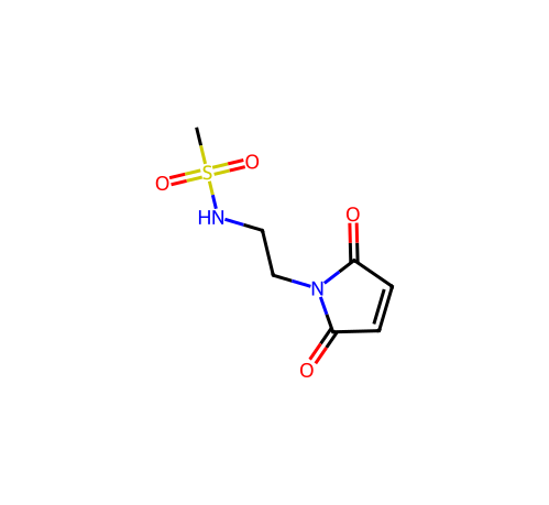 CS(=O)(=O)NCCN1C(=O)C=CC1=O